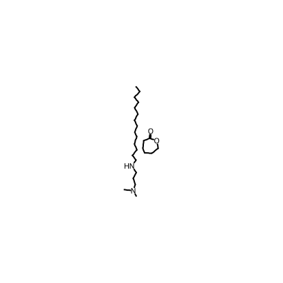 CCCCCCCCCCCCCCNCCCN(C)C.O=C1CCCCCO1